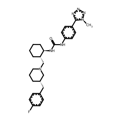 Cn1nnnc1-c1ccc(NC(=O)N[C@@H]2CCCC[C@H]2CN2CCC[C@@H](Cc3ccc(F)cc3)C2)cc1